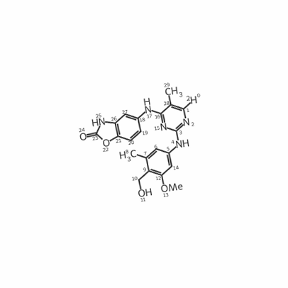 [2H]c1nc(Nc2cc(C)c(CO)c(OC)c2)nc(Nc2ccc3oc(=O)[nH]c3c2)c1C